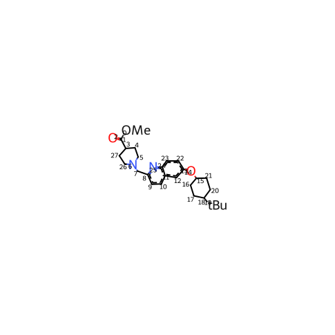 COC(=O)C1CCN(Cc2ccc3cc(OC4CCC(C(C)(C)C)CC4)ccc3n2)CC1